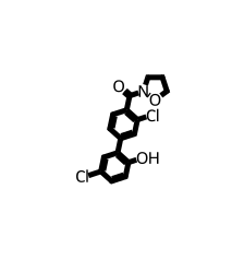 O=C(c1ccc(-c2cc(Cl)ccc2O)cc1Cl)N1CCCO1